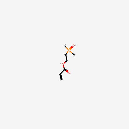 C=CC(=O)OCCP(C)(C)=O